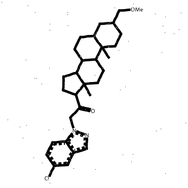 COCC1CCC2(C)C(CCC3C2CCC2(C)C(C(=O)Cn4ncc5cc(Cl)ccc54)CCC32)C1